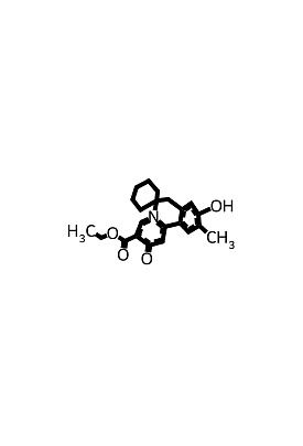 CCOC(=O)c1cn2c(cc1=O)-c1cc(C)c(O)cc1CC21CCCCC1